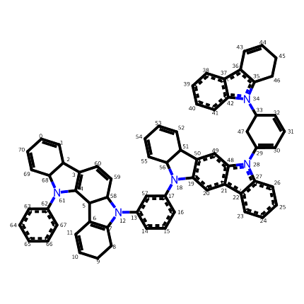 C1=CC2C3=C(C4C5=C(CCC=C5)N(c5cccc(N6c7cc8c9ccccc9n(C9=CC=CC(n%10c%11c(c%12ccccc%12%10)C=CCC%11)C9)c8cc7C7C=CC=CC76)c5)C4C=C3)N(c3ccccc3)C2C=C1